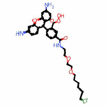 N=c1ccc2c(-c3ccc(C(=O)NCCOCCOCCCCCCCl)cc3C(=O)OO)c3ccc(N)cc3oc-2c1